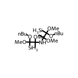 CCCCOC([SiH3])(OC)C(C)(NC(C)(OC)C([SiH3])(OC)OCCCC)OC